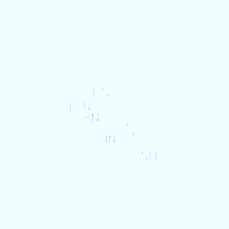 NN/C(=C\NCc1ccc(F)cc1)C(=O)N[C@H]1CCc2ccccc2NC1=O